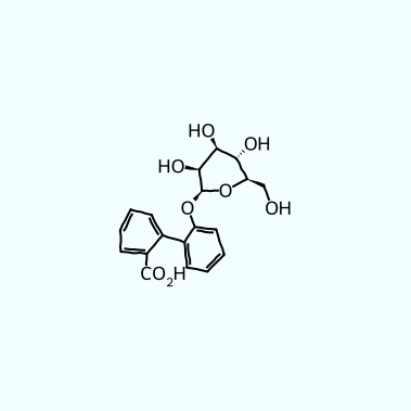 O=C(O)c1ccccc1-c1ccccc1O[C@@H]1O[C@H](CO)[C@@H](O)[C@H](O)[C@@H]1O